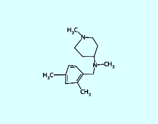 Cc1ccc(CN(C)C2CCN(C)CC2)c(C)c1